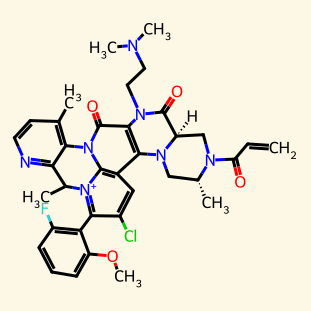 C=CC(=O)N1C[C@@H]2C(=O)N(CCN(C)C)c3c(c4cc(Cl)c(-c5c(F)cccc5OC)[n+]5c4n(c3=O)-c3c(C)ccnc3C5C)N2C[C@H]1C